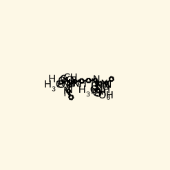 COC(=O)N[C@H](C(=O)N1C[C@H](n2cc(-c3ccccc3)nn2)CC1c1ncc(-c2ccc(-c3ccc(-c4cnc(C5C[C@@H](n6cc(-c7ccccc7)nn6)CN5C(=O)C(NC(=O)CO)C(C)C)[nH]4)cc3)cc2)[nH]1)C(C)C